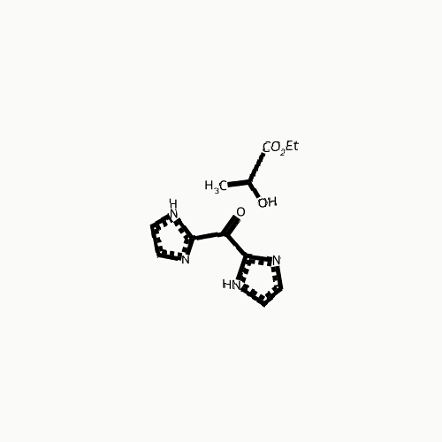 CCOC(=O)C(C)O.O=C(c1ncc[nH]1)c1ncc[nH]1